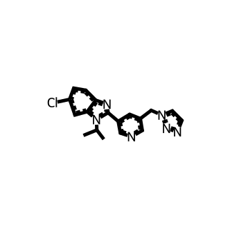 CC(C)n1c(-c2cncc(Cn3ccnn3)c2)nc2ccc(Cl)cc21